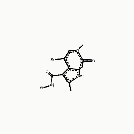 CCNC(=O)c1c(C)[nH]c2c(=O)n(C)cc(Br)c12